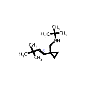 CC(C)(C)/C=C/C1(CNC(C)(C)C)CC1